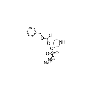 C1CCNC1.O=C(Cl)OCc1ccccc1.O=S(=O)([O-])[O-].[Na+].[Na+]